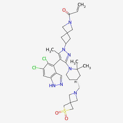 C=CC(=O)N1CC2(CC(n3nc(N4CC[C@@H](CN5CC6(C5)CS(=O)(=O)C6)CC4(C)C)c(-c4c(Cl)c(Cl)cc5[nH]ncc45)c3C)C2)C1